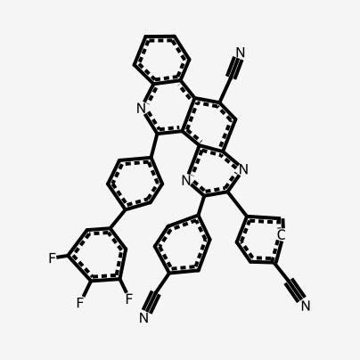 N#Cc1ccc(-c2nc3cc(C#N)c4c5ccccc5nc(-c5ccc(-c6cc(F)c(F)c(F)c6)cc5)c4c3nc2-c2ccc(C#N)cc2)cc1